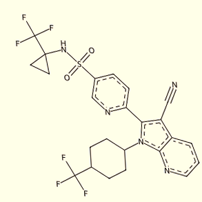 N#Cc1c(-c2ccc(S(=O)(=O)NC3(C(F)(F)F)CC3)cn2)n(C2CCC(C(F)(F)F)CC2)c2ncccc12